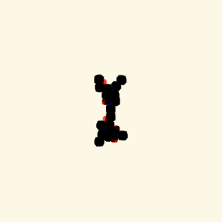 c1ccc(-c2ccc(N(c3ccc(-c4cccc5c4oc4ccccc45)cc3)c3cccc4c3-c3ccccc3C43c4ccccc4N(c4ccc(-c5ccc6c(c5)oc5c(-c7ccccc7N(c7ccc(-c8ccccc8)cc7)c7cccc8c7-c7ccccc7C87c8ccccc8N(c8ccccc8)c8ccccc87)cccc56)cc4)c4ccccc43)cc2)cc1